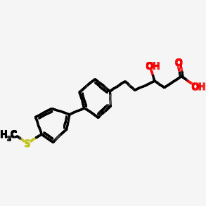 CSc1ccc(-c2ccc(CCC(O)CC(=O)O)cc2)cc1